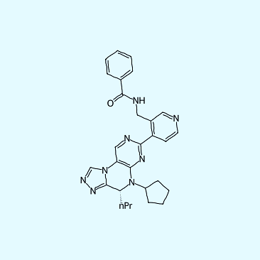 CCC[C@@H]1c2nncn2-c2cnc(-c3ccncc3CNC(=O)c3ccccc3)nc2N1C1CCCC1